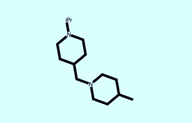 CC1CCN(CC2CCN(C(C)C)CC2)CC1